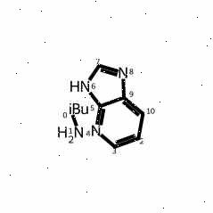 CCC(C)N.c1cnc2[nH]cnc2c1